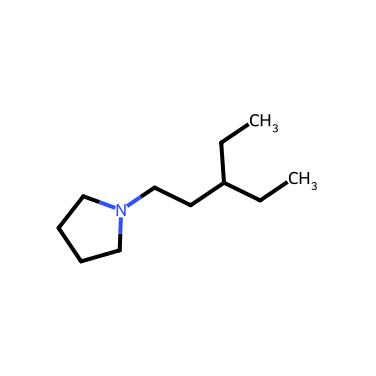 CCC(CC)CCN1CCCC1